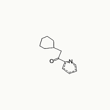 O=C(CC1CCCCC1)c1ccccn1